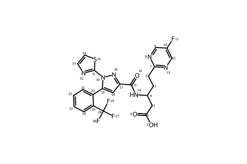 O=C(O)CC(CCc1ncc(F)cn1)NC(=O)c1cc(-c2ccccc2C(F)(F)F)n(-c2nccs2)n1